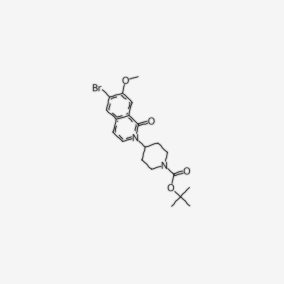 COc1cc2c(=O)n(C3CCN(C(=O)OC(C)(C)C)CC3)ccc2cc1Br